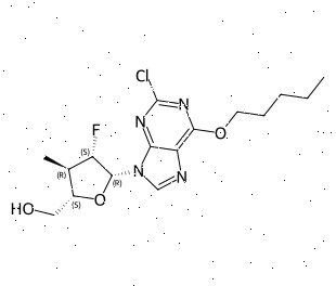 CCCCCOc1nc(Cl)nc2c1ncn2[C@@H]1O[C@H](CO)[C@@H](C)[C@@H]1F